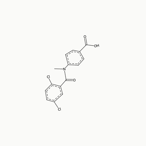 CN(C(=O)c1cc(Cl)ccc1Cl)c1ccc(C(=O)O)cc1